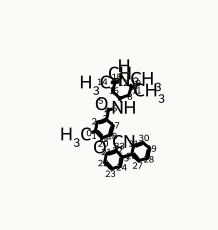 Cc1cc(C(=O)NC2CC(C)(C)NC(C)(C)C2)ccc1Oc1cccc(-c2ccccc2)c1C#N